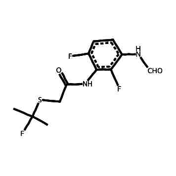 CC(C)(F)SCC(=O)Nc1c(F)ccc(NC=O)c1F